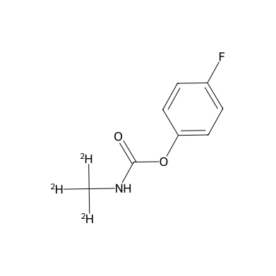 [2H]C([2H])([2H])NC(=O)Oc1ccc(F)cc1